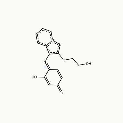 O=C1C=C/C(=N\c2c(OCCO)nn3ccccc23)C(O)=C1